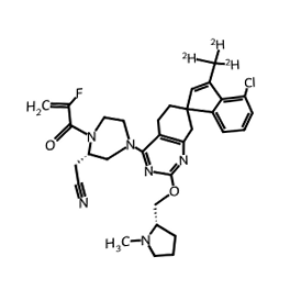 [2H]C([2H])([2H])C1=CC2(CCc3c(nc(OC[C@@H]4CCCN4C)nc3N3CCN(C(=O)C(=C)F)[C@@H](CC#N)C3)C2)c2cccc(Cl)c21